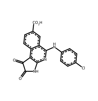 O=C1Nc2nc(Nc3ccc(Cl)cc3)c3cc(C(=O)O)ccc3c2C1=O